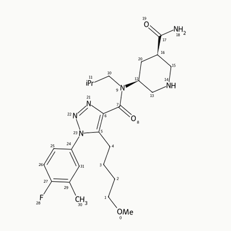 COCCCCc1c(C(=O)N(CC(C)C)[C@@H]2CNC[C@H](C(N)=O)C2)nnn1-c1ccc(F)c(C)c1